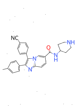 Cc1ccc(-c2nc3ccc(C(=O)NC4CCNCC4)cn3c2-c2ccc(C#N)cc2)cc1